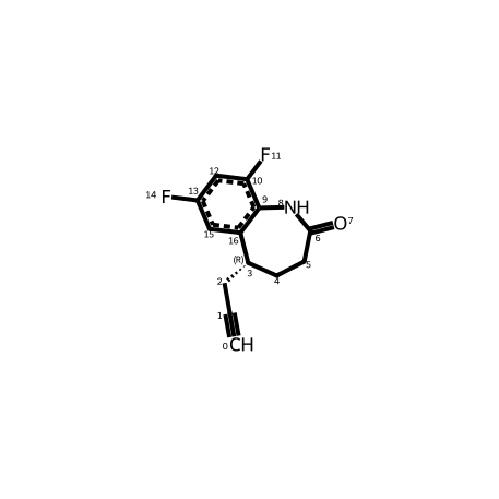 C#CC[C@H]1CCC(=O)Nc2c(F)cc(F)cc21